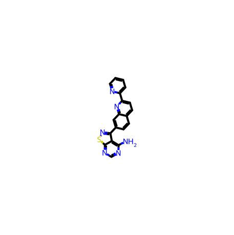 Nc1ncnc2snc(-c3ccc4ccc(-c5ccccn5)nc4c3)c12